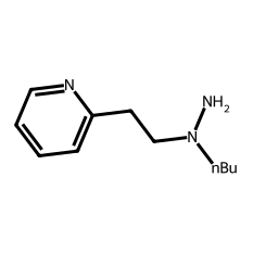 CCCCN(N)CCc1ccccn1